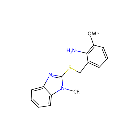 COc1cccc(CSc2nc3ccccc3n2C(F)(F)F)c1N